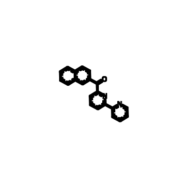 O=C(c1ccc2ccccc2c1)c1cccc(-c2ccccn2)n1